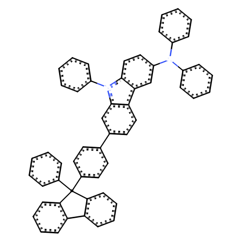 c1ccc(N(c2ccccc2)c2ccc3c(c2)c2ccc(-c4ccc(C5(c6ccccc6)c6ccccc6-c6ccccc65)cc4)cc2n3-c2ccccc2)cc1